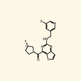 O=C(c1nc(NCc2cncc(F)c2)nc2ccsc12)N1CC[C@@H](F)C1